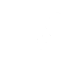 CCOc1cc(OC)c(F)c(N2Cc3cnc(NCCCCCN(C(C)C)C(C)C)nc3N(C3CC3)C2=O)c1